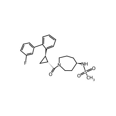 CS(=O)(=O)N[C@@H]1CCCN(C(=O)[C@@H]2C[C@H]2c2ccccc2-c2cccc(F)c2)CC1